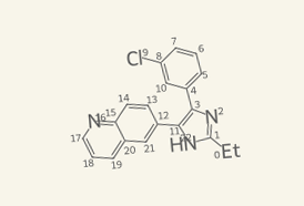 CCc1nc(-c2cccc(Cl)c2)c(-c2ccc3ncccc3c2)[nH]1